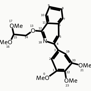 COc1cc(-c2cc3ccccc3c(OCC(OC)OC)n2)cc(OC)c1OC